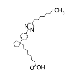 CCCCCCCCc1cnc(-c2ccc(C3(CCCCCCCC(=O)O)CCCC3)cc2)nc1